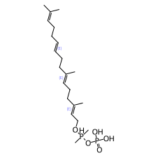 CC(C)=CCC/C=C/CC/C(C)=C/CC/C(C)=C/CO[PH](C)(C)OP(=O)(O)O